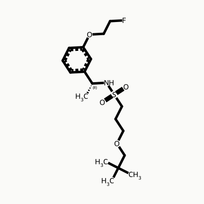 C[C@@H](NS(=O)(=O)CCCOCC(C)(C)C)c1cccc(OCCF)c1